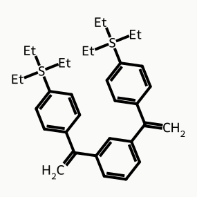 C=C(c1ccc(S(CC)(CC)CC)cc1)c1cccc(C(=C)c2ccc(S(CC)(CC)CC)cc2)c1